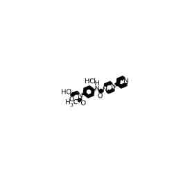 CC(=O)N(CC(=O)O)[C@H]1CC[C@H](NC(=O)N2CCN(c3ccncc3)CC2)CC1.Cl